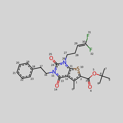 Cc1c(C(=O)OC(C)(C)C)sc2c1c(=O)n(CCc1ccccc1)c(=O)n2CCC=C(F)F